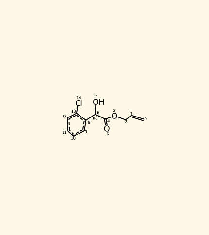 C=CCOC(=O)[C@H](O)c1ccccc1Cl